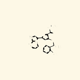 C[C@@H](Oc1cc(-c2cnc3ncccn23)sc1C(=O)OC(C)(C)C)c1ccccc1Cl